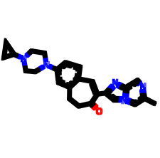 Cc1cn2cc(C3=Cc4ccc(N5CCN(C6CC6)CC5)cc4CCC3=O)nc2cn1